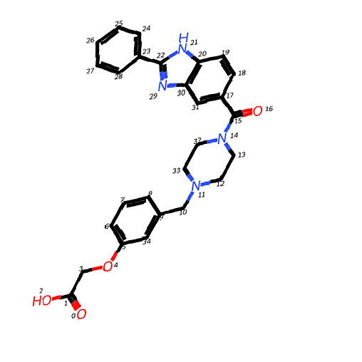 O=C(O)COc1cccc(CN2CCN(C(=O)c3ccc4[nH]c(-c5ccccc5)nc4c3)CC2)c1